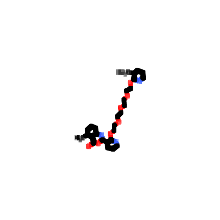 Cc1cccc2nc(-c3cccnc3OCCOCCOCCOCCOc3ncccc3C(=O)O)oc(=O)c12